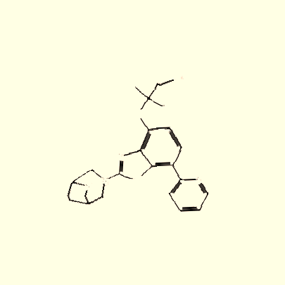 O=C(O)N1C2CC1CN(c1nc3c(OC(F)(F)CO)ccc(-c4ccccn4)c3o1)C2